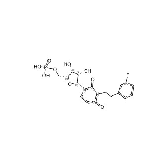 O=c1ccn([C@@H]2O[C@H](COP(=O)(O)O)[C@H](O)[C@@H]2O)c(=O)n1CCc1cccc(F)c1